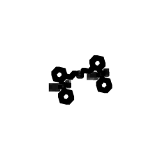 S=P(S)(C1CCCCC1)C1CCCCC1CCOCCC1CCCCC1P(=S)(S)C1CCCCC1